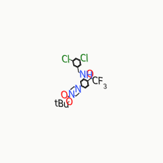 CC(C)(C)OC(=O)N1CCN(c2ccc(C(=O)C(F)(F)F)c(NCc3cc(Cl)cc(Cl)c3)c2)CC1